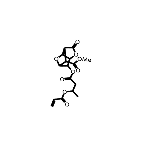 C=CC(=O)OC(C)CC(=O)OC1C2OC(=O)C3C2OC1C3C(=O)OC